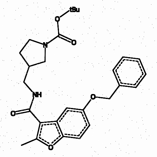 Cc1oc2ccc(OCc3ccccc3)cc2c1C(=O)NCC1CCN(C(=O)OC(C)(C)C)C1